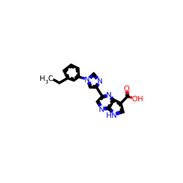 CCc1cccc(-n2cnc(-c3cnc4[nH]cc(C(=O)O)c4n3)c2)c1